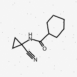 N#CC1(NC(=O)C2CCCCC2)CC1